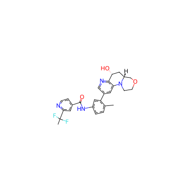 Cc1ccc(NC(=O)c2ccnc(C(C)(F)F)c2)cc1-c1cnc2c(c1)N1CCOC[C@H]1C[C@H]2O